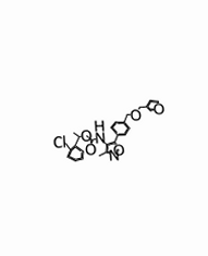 Cc1noc(-c2ccc(COCc3ccoc3)cc2)c1NC(=O)OC(C)c1ccccc1Cl